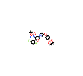 CC(C)(C)OC(=O)N[C@H]1C[C@H](N2CC[C@H](Oc3ccc(B4OC(C)(C)C(C)(C)O4)cc3)C2)CO[C@@H]1c1cc(F)ccc1F